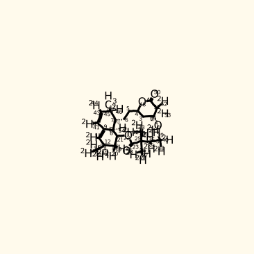 [2H]O[C@@H]1CC(CC[C@@H]2[C@@H]3C(=C([2H])[C@]([2H])(C([2H])([2H])[2H])C([2H])([2H])C3OC(=O)C(C([2H])([2H])[2H])(C([2H])([2H])[2H])C([2H])([2H])C([2H])([2H])[2H])C([2H])=C([2H])[C@]2([2H])C)OC(=O)C1([2H])[2H]